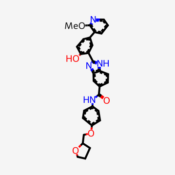 COc1ncccc1-c1ccc(O)c(-c2nc3cc(C(=O)Nc4ccc(OCC5CCCO5)cc4)ccc3[nH]2)c1